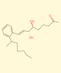 CCCCCC(C)c1ccccc1/C=C/[C@@H](O)[C@@H](O)CCCC(C)=O